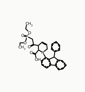 CCOP(=O)(CC(=O)C1C=CCN(c2cccc3c2C(c2ccccc2)c2ccccc2-3)C1C(=O)O)OCC